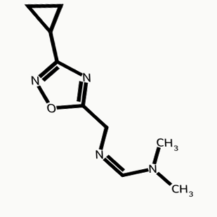 CN(C)/C=N\Cc1nc(C2CC2)no1